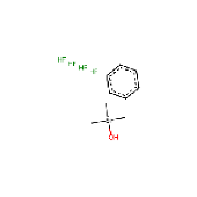 C[Si](C)(C)O.F.F.F.F.c1ccccc1